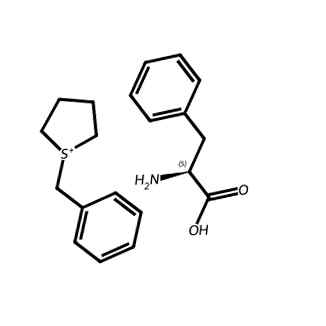 N[C@@H](Cc1ccccc1)C(=O)O.c1ccc(C[S+]2CCCC2)cc1